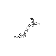 CSNC(=O)NCCN1CCN(c2ccc(OCC3COC(Cn4ccnc4)(c4ccc(Cl)cc4Cl)O3)cc2)CC1